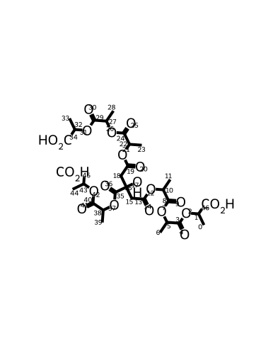 CC(OC(=O)C(C)OC(=O)C(C)OC(=O)CC(O)(CC(=O)OC(C)C(=O)OC(C)C(=O)OC(C)C(=O)O)C(=O)OC(C)C(=O)OC(C)C(=O)O)C(=O)O